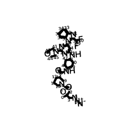 CC(C)(CN=[N+]=[N-])OC(=O)N1CCC[C@H](C(=O)N[C@H]2CC[C@H](Nc3cc(-n4c(C(F)F)nc5ccccc54)nc(N4CCOCC4)n3)CC2)C1